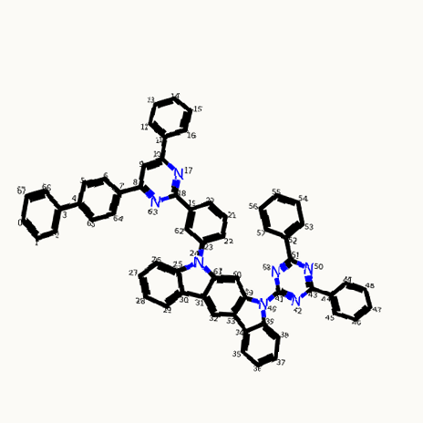 c1ccc(-c2ccc(-c3cc(-c4ccccc4)nc(-c4cccc(-n5c6ccccc6c6cc7c8ccccc8n(-c8nc(-c9ccccc9)nc(-c9ccccc9)n8)c7cc65)c4)n3)cc2)cc1